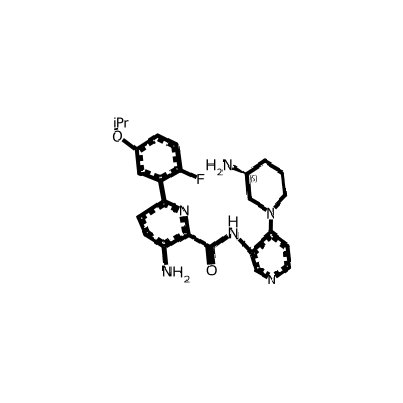 CC(C)Oc1ccc(F)c(-c2ccc(N)c(C(=O)Nc3cnccc3N3CCC[C@H](N)C3)n2)c1